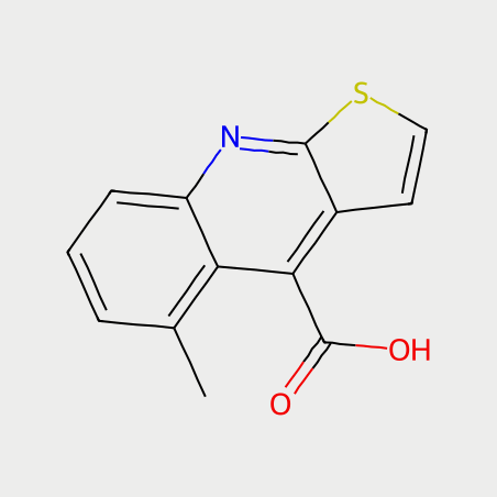 Cc1cccc2nc3sccc3c(C(=O)O)c12